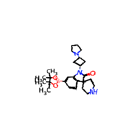 CC1(C)OB(c2ccc3c(c2)N([C@H]2C[C@@H](N4CCCC4)C2)C(=O)C32CCNCC2)OC1(C)C